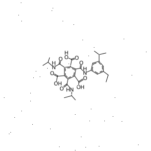 CCc1cc(NC(=O)c2c(C(=O)O)c(C(=O)NC(C)C)c(C(=O)O)c(C(=O)NC(C)C)c2C(=O)O)cc(C(C)C)c1